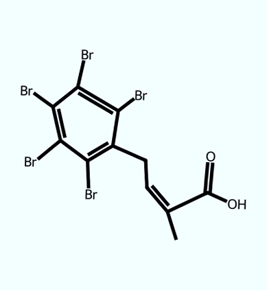 CC(=CCc1c(Br)c(Br)c(Br)c(Br)c1Br)C(=O)O